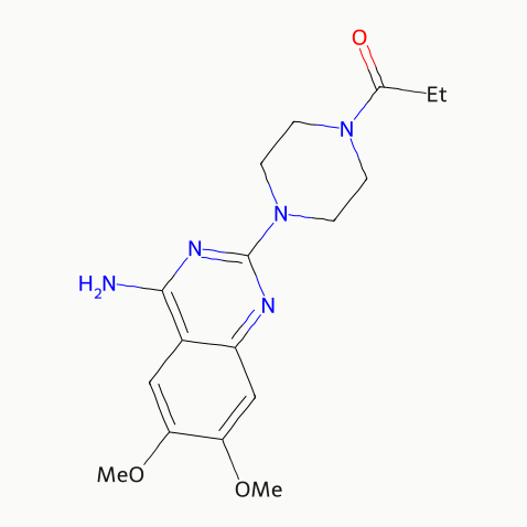 CCC(=O)N1CCN(c2nc(N)c3cc(OC)c(OC)cc3n2)CC1